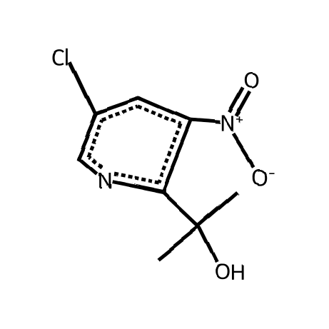 CC(C)(O)c1ncc(Cl)cc1[N+](=O)[O-]